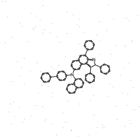 c1ccc(C2=c3c(c(-c4ccccc4)cc4ccc(N(c5ccc(-c6ccccc6)cc5)c5cccc6ccccc56)cc34)=NC2c2ccccc2)cc1